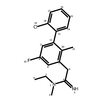 CCN(C)C(=N)Cc1cc(F)cc(-c2ccccc2Cl)c1C